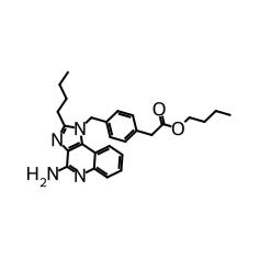 CCCCOC(=O)Cc1ccc(Cn2c(CCCC)nc3c(N)nc4ccccc4c32)cc1